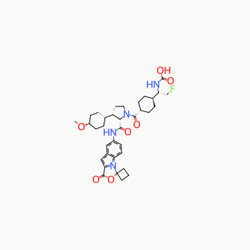 CO[C@H]1CC[C@H]([C@@H]2CCN(C(=O)[C@H]3CC[C@H]([C@@H](CF)NC(=O)O)CC3)[C@@H]2C(=O)Nc2ccc3c(c2)cc2n3C3(CCC3)OC2=O)CC1